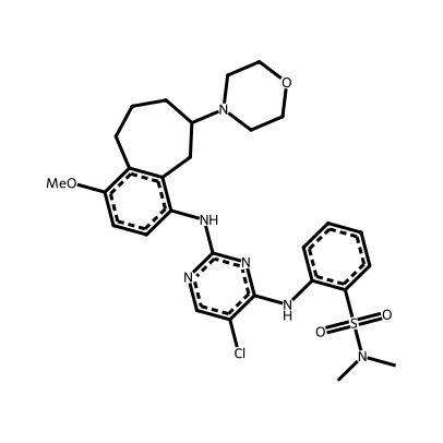 COc1ccc(Nc2ncc(Cl)c(Nc3ccccc3S(=O)(=O)N(C)C)n2)c2c1CCCC(N1CCOCC1)C2